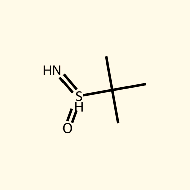 CC(C)(C)[SH](=N)=O